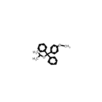 COc1ccc(C(OC(C)C)(c2ccccc2)c2ccccc2)cc1